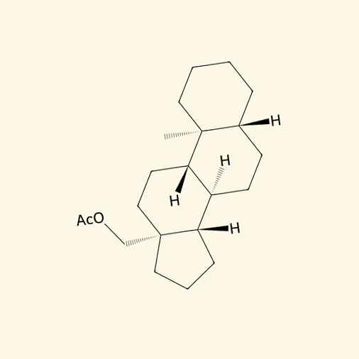 CC(=O)OC[C@@]12CCC[C@H]1[C@@H]1CC[C@H]3CCCC[C@]3(C)[C@H]1CC2